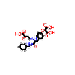 O=C(O)C(=O)CCNC(Cc1ccc(OC(C(=O)O)C(=O)O)cc1)C(=O)NCC1CCCCC1